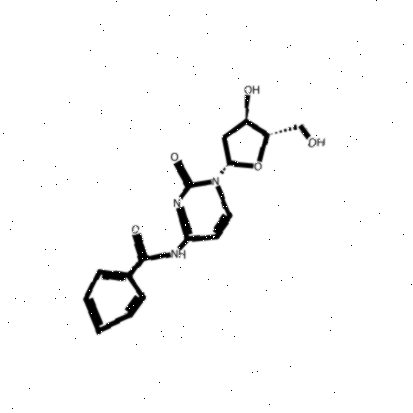 O=C(Nc1ccn([C@@H]2C[C@@H](O)[C@H](CO)O2)c(=O)n1)c1ccccc1